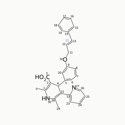 CC1=C(C(=O)O)C(c2cccc(OC/C=C/c3ccccc3)c2)C(c2ccccn2)=C(C)N1